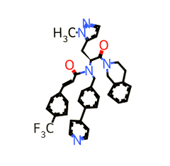 Cn1nccc1C[C@@H](C(=O)N1CCc2ccccc2C1)N(Cc1ccc(-c2ccncc2)cc1)C(=O)C=Cc1ccc(C(F)(F)F)cc1